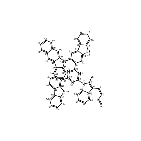 C=C/C=C\c1c(C)n(-c2nc(-c3cc4oc5ccccc5c4cc3-n3c4ccccc4c4cc5ccccc5cc43)nc(-c3cccc4c3sc3ccccc34)n2)c2ccccc12